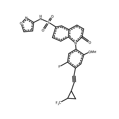 COc1cc(C#CC2CC2C(F)(F)F)c(F)cc1-n1c(=O)ccc2cc(S(=O)(=O)Nc3ccon3)ccc21